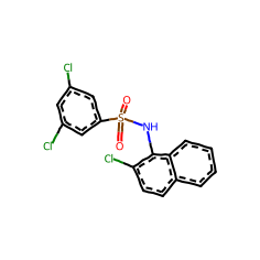 O=S(=O)(Nc1c(Cl)ccc2ccccc12)c1cc(Cl)cc(Cl)c1